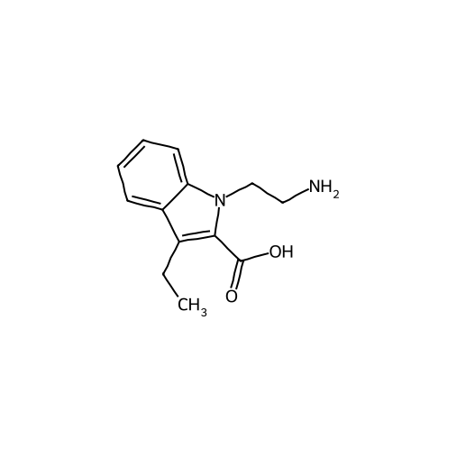 CCc1c(C(=O)O)n(CCN)c2ccccc12